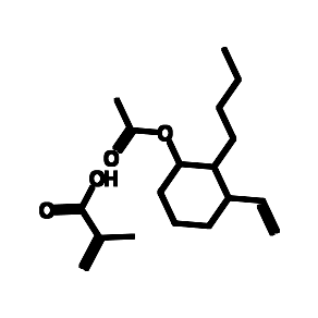 C=C(C)C(=O)O.C=CC1CCCC(OC(C)=O)C1CCCC